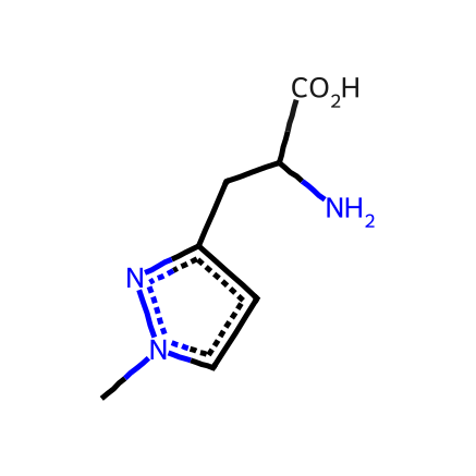 Cn1ccc(CC(N)C(=O)O)n1